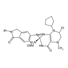 CCC1CN(C)C2=C(N[C@@](N)(Nc3cc4c(cc3OC)C(=O)N(C(C)C)C4)NC2=O)N1C1CCCC1